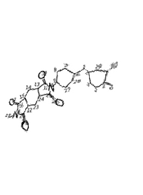 CC1CCC(CC2CCC(N3C(=O)C4CC5C(=O)N(C)C(=O)C5CC4C3=O)CC2)CC1